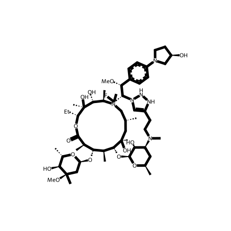 CC[C@H]1OC(=O)[C@H](C)[C@@H](O[C@H]2C[C@@](C)(OC)[C@@H](O)[C@H](C)O2)[C@H](C)[C@@H](O[C@@H]2O[C@H](C)C[C@H](N(C)CCC3=CN([C@H](CF)[C@H](OC)c4ccc(N5CC[C@@H](O)C5)cc4)NN3)[C@H]2O)[C@](C)(O)C[C@@H](C)CN(C)[C@H](C)[C@@H](O)[C@]1(C)O